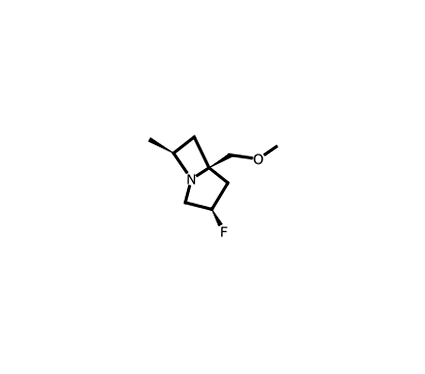 COC[C@@]12C[C@@H](F)CN1[C@@H](C)C2